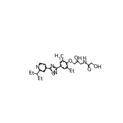 CCc1cc(-c2noc(-c3ccnc(C(CC)CC)c3)n2)cc(C)c1OC[C@@H](O)CNC(=O)CO